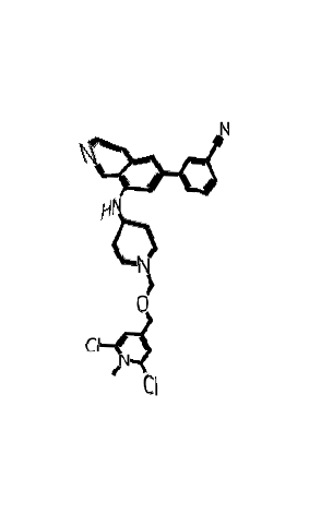 CN1C(Cl)=CC(COCN2CCC(Nc3cc(-c4cccc(C#N)c4)cc4ccncc34)CC2)=CC1Cl